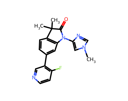 Cn1cnc(N2C(=O)C(C)(C)c3ccc(-c4cnccc4F)cc32)c1